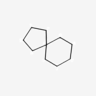 [CH]1CCCCC12[CH]CCC2